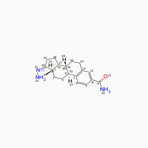 C[C@]12CC[C@@H]3c4ccc(C(N)=O)cc4CC[C@H]3[C@@H]1CC/C2=N/N